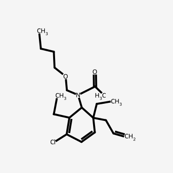 C=CCC1(CC)C=CC(Cl)=C(CC)C1N(COCCCC)C(C)=O